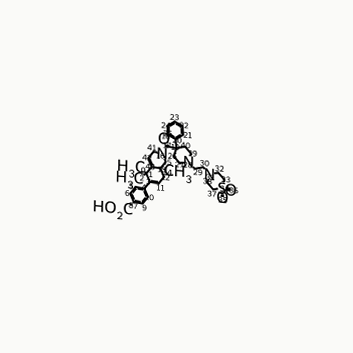 CC1(C)C(c2ccc(C(=O)O)cc2)=CC[C@]2(C)CN(C(=O)C3(c4ccccc4)CCN(CCN4CCS(=O)(=O)CC4)CC3)CC=C12